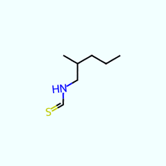 CCCC(C)CNC=S